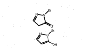 CCN1N=CCC1=O.CCn1nccc1O